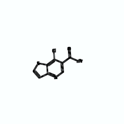 CCCC(=O)c1cnc2ccsc2c1Cl